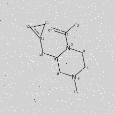 C=C(C)N1CCN(C)CC1CC1=CC1